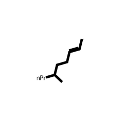 [CH2]/C=C/CCC(C)CCC